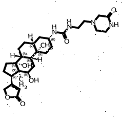 C[C@@]12CC[C@@H](NC(=O)NCCN3CCNC(=O)C3)C[C@H]1CC[C@@H]1[C@H]2C[C@@H](O)[C@@]2(C)[C@@H](C3=CC(=O)OC3)CC[C@@]12O